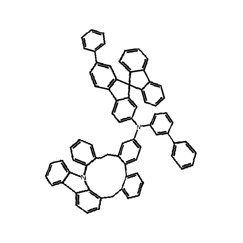 c1ccc(-c2cccc(N(c3ccc4c(c3)Cc3ccccc3-n3c5ccccc5c5cccc(c53)Cc3ccccc3-4)c3ccc4c(c3)C3(c5ccccc5-c5ccccc53)c3cc(-c5ccccc5)ccc3-4)c2)cc1